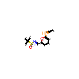 CC#[PH]C1=CCC[C@@H](/C=N/[S@+]([O-])C(C)(C)C)O1